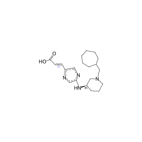 O=C(O)/C=C/c1cnc(N[C@@H]2CCCN(CC3CCCCCC3)C2)cn1